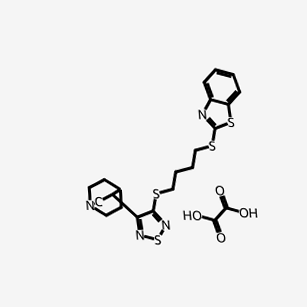 O=C(O)C(=O)O.c1ccc2sc(SCCCCSc3nsnc3C3CN4CCC3CC4)nc2c1